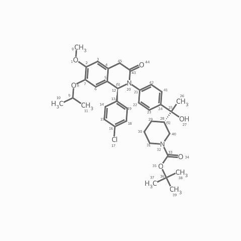 COc1cc2c(cc1OC(C)C)[C@H](c1ccc(Cl)cc1)N(c1ccc(C(C)(O)[C@H]3CCCN(C(=O)OC(C)(C)C)C3)cc1)C(=O)C2